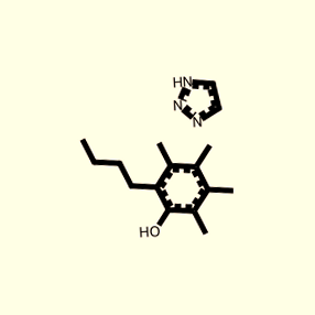 CCCCc1c(C)c(C)c(C)c(C)c1O.c1c[nH]nn1